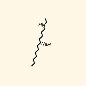 [CH2]CNCCCCCCCCCCCC.[NaH]